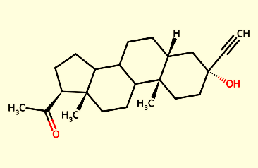 C#C[C@@]1(O)CC[C@]2(C)C3CC[C@@]4(C)C(CC[C@@H]4C(C)=O)C3CC[C@@H]2C1